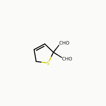 O=CC1(C=O)C=CCS1